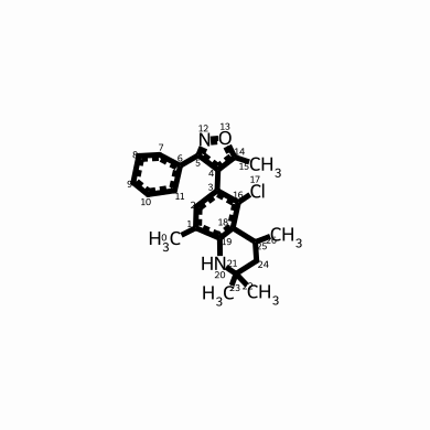 Cc1cc(-c2c(-c3ccccc3)noc2C)c(Cl)c2c1NC(C)(C)CC2C